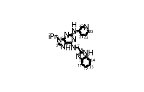 CC(C)n1cnc2c(NCc3nc4ccccc4[nH]3)nc(Nc3cccnc3)nc21